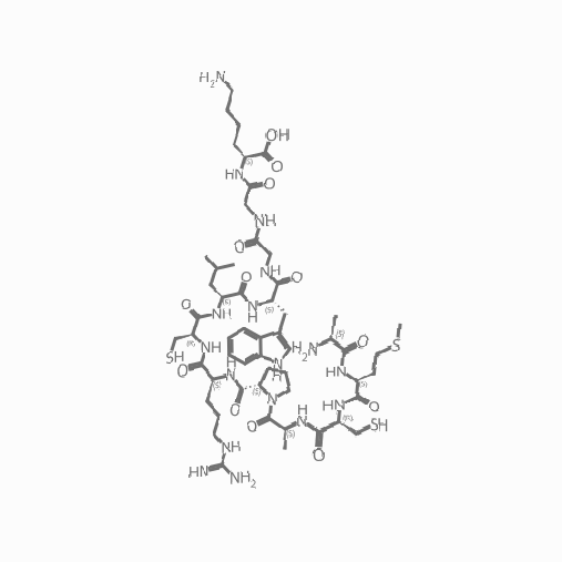 CSCC[C@H](NC(=O)[C@H](C)N)C(=O)N[C@@H](CS)C(=O)N[C@@H](C)C(=O)N1CCC[C@H]1C(=O)N[C@@H](CCCNC(=N)N)C(=O)N[C@@H](CS)C(=O)N[C@@H](CC(C)C)C(=O)N[C@@H](Cc1c[nH]c2ccccc12)C(=O)NCC(=O)NCC(=O)N[C@@H](CCCCN)C(=O)O